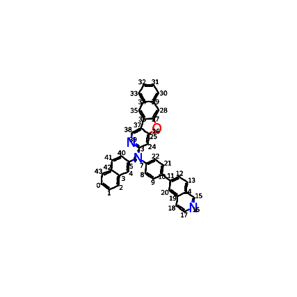 c1ccc2cc(N(c3ccc(-c4ccc5cnccc5c4)cc3)c3cc4oc5cc6ccccc6cc5c4cn3)ccc2c1